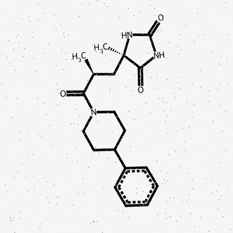 C[C@@H](C[C@@]1(C)NC(=O)NC1=O)C(=O)N1CCC(c2ccccc2)CC1